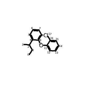 CCC(C)c1ccccc1Oc1ccccc1Cl